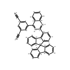 N#Cc1cc(C#N)cc(-c2nc(-c3cccc4c3-c3ccccc3C43c4ccccc4-c4ccccc43)nc3ccccc23)c1